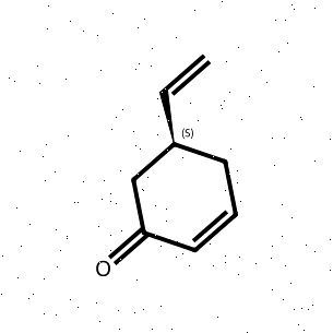 C=C[C@H]1CC=CC(=O)C1